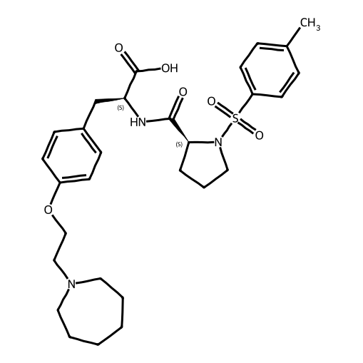 Cc1ccc(S(=O)(=O)N2CCC[C@H]2C(=O)N[C@@H](Cc2ccc(OCCN3CCCCCC3)cc2)C(=O)O)cc1